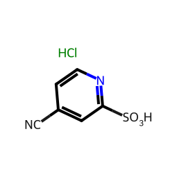 Cl.N#Cc1ccnc(S(=O)(=O)O)c1